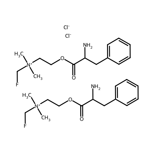 C[N+](C)(CF)CCOC(=O)C(N)Cc1ccccc1.C[N+](C)(CF)CCOC(=O)C(N)Cc1ccccc1.[Cl-].[Cl-]